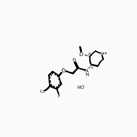 CO[C@@H]1CNCC[C@@H]1NC(=O)COc1ccc(Cl)c(F)c1.Cl